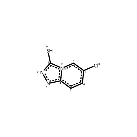 Sc1nnc2ccc(Cl)cn12